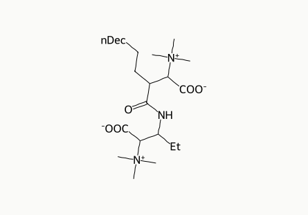 CCCCCCCCCCCCC(C(=O)NC(CC)C(C(=O)[O-])[N+](C)(C)C)C(C(=O)[O-])[N+](C)(C)C